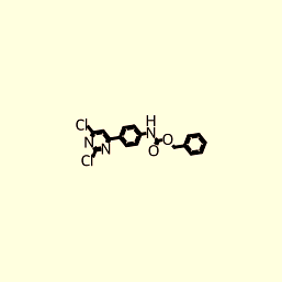 O=C(Nc1ccc(-c2cc(Cl)nc(Cl)n2)cc1)OCc1ccccc1